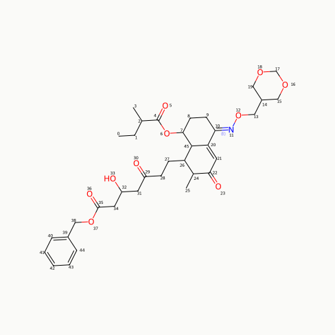 CCC(C)C(=O)OC1CC/C(=N\OCC2COCOC2)C2=CC(=O)C(C)C(CCC(=O)CC(O)CC(=O)OCc3ccccc3)C21